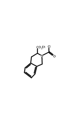 CCOC(=O)C1Cc2ccccc2CN1C(=O)Cl